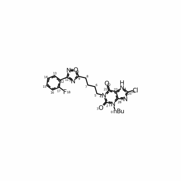 CCCCn1c(=O)n(CCCCc2nc(-c3ccccc3F)no2)c(=O)c2[nH]c(Cl)nc21